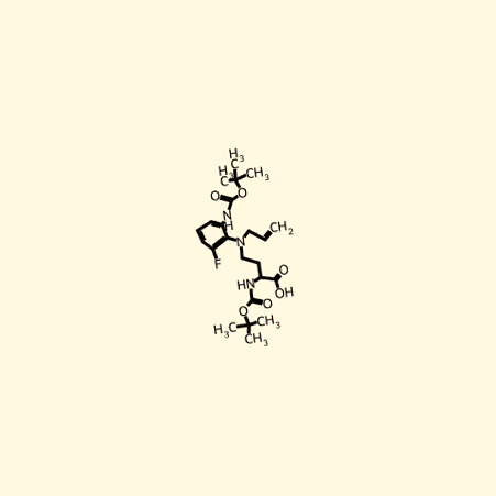 C=CCN(CCC(NC(=O)OC(C)(C)C)C(=O)O)c1c(F)cccc1NC(=O)OC(C)(C)C